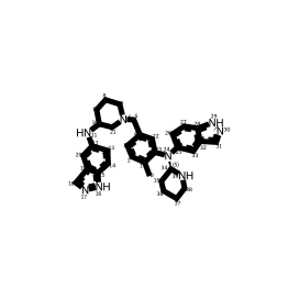 Cc1ccc(CN2CCCC(Nc3ccc4[nH]ncc4c3)C2)cc1N(c1ccc2[nH]ncc2c1)[C@H]1CCCCN1